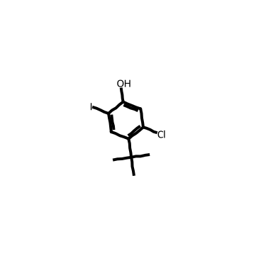 CC(C)(C)c1cc(I)c(O)cc1Cl